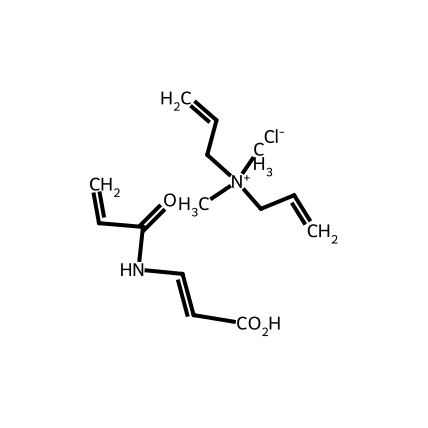 C=CC(=O)NC=CC(=O)O.C=CC[N+](C)(C)CC=C.[Cl-]